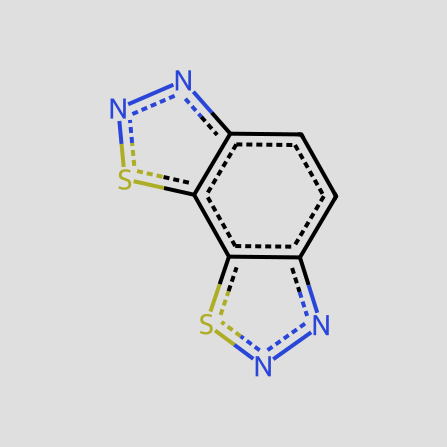 c1cc2nnsc2c2snnc12